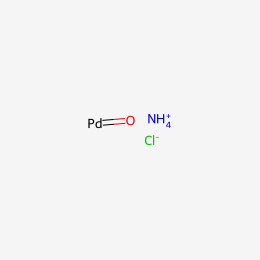 [Cl-].[NH4+].[O]=[Pd]